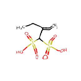 C=C(CC)C(S(=O)(=O)O)S(=O)(=O)O